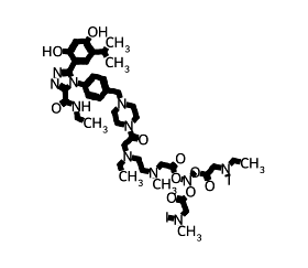 CCNC(=O)c1nnc(-c2cc(C(C)C)c(O)cc2O)n1-c1ccc(CN2CCN(C(=O)CN(CC)CCN(C)CC(=O)ON(OC(=O)CN(C)I)OC(=O)CN(I)CC)CC2)cc1